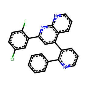 Fc1ccc(Cl)cc1-c1cc(-c2cccnc2-c2ccccc2)c2cccnc2n1